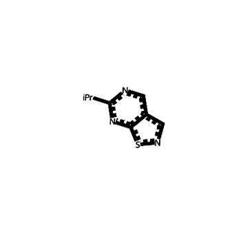 CC(C)c1ncc2cnsc2n1